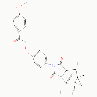 COc1ccc(C(=O)COc2ccc(N3C(=O)[C@@H]4[C@H]5C=C[C@H]([C@@H]6C[C@H]56)[C@@H]4C3=O)cc2)cc1